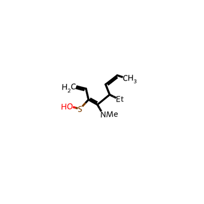 C=C/C(SO)=C(/NC)C(/C=C\C)CC